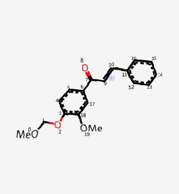 COCOc1ccc(C(=O)/C=C/c2ccccc2)cc1OC